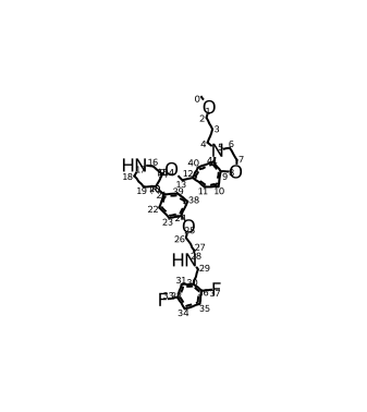 COCCCN1CCOc2ccc(CO[C@H]3CNCC[C@@H]3c3ccc(OCCNCc4cc(F)ccc4F)cc3)cc21